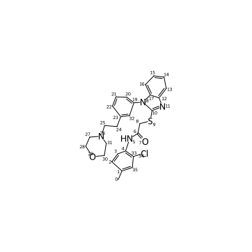 Cc1ccc(NC(=O)CSc2nc3ccccc3n2-c2cccc(CCN3CCOCC3)c2)c(Cl)c1